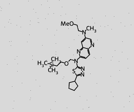 COCCN(C)c1cnc2ccc(N(COCC[Si](C)(C)C)c3nnc(C4CCCC4)s3)nc2c1